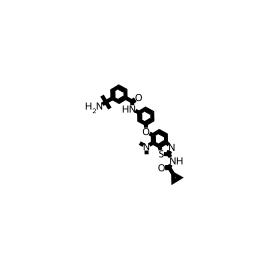 CN(C)c1c(Oc2cccc(NC(=O)c3cccc(C(C)(C)N)c3)c2)ccc2nc(NC(=O)C3CC3)sc12